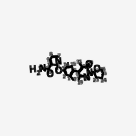 Cc1cc(Oc2ncccc2C(N)=O)ccc1-c1c(C)nn(C2CCCCO2)c(=O)c1C